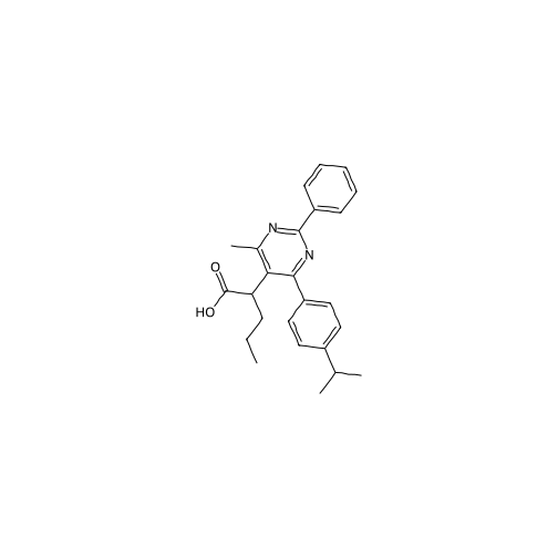 CCCC(C(=O)O)c1c(C)nc(-c2ccccc2)nc1-c1ccc(C(C)C)cc1